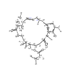 COc1cc2cc(c1Cl)N(C)C(=O)C[C@H](OC(=O)[C@H](C)N(C)C)C1(C)O[C@@H]1[C@H](C)C1C[C@@](O)(NC(=O)O1)[C@H](OC)/C=C/C=C(\C)C2